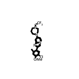 COc1cc(C)c(-c2cn3ccc(N4CCCN(SC(F)(F)F)CC4)cc3n2)cc1Cl